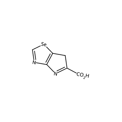 O=C(O)C1=Nc2nc[se]c2C1